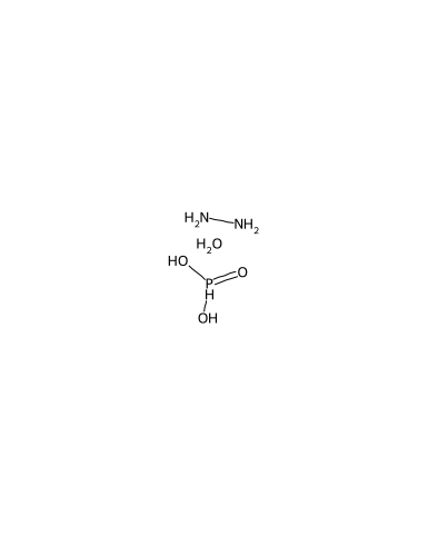 NN.O.O=[PH](O)O